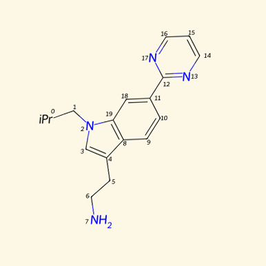 CC(C)Cn1cc(CCN)c2ccc(-c3ncccn3)cc21